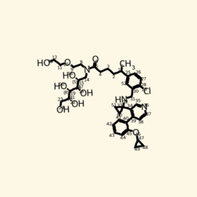 CC(CCCC(=O)N(CCOCCO)C[C@H](O)[C@@H](O)[C@H](O)[C@H](O)CO)c1ccc(Cl)c(CNC2(c3cnccc3-c3ccccc3OC3CC3)CC2)c1